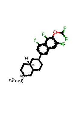 CCCCC[C@@H]1CC[C@@H]2CC(c3cc(F)c4c(F)c(OC(F)F)c(F)cc4c3)CCC2C1